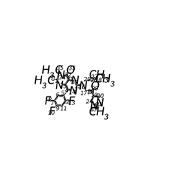 Cc1nc2c(-c3cc(F)c(F)cc3F)nc(N3C[C@H](c4cnn(C)c4)OC(C)(C)C3)nc2c(=O)n1C